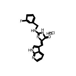 Cl.Cl.O=C1NC(NCc2cccc(F)c2)=NC1=Cc1c[nH]c2ncccc12